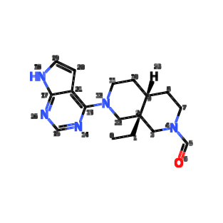 CC[C@]12CN(C=O)CC[C@H]1CCN(c1ncnc3[nH]ccc13)C2